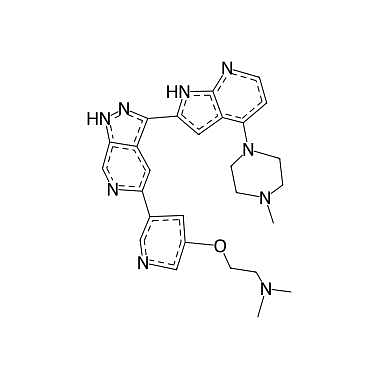 CN(C)CCOc1cncc(-c2cc3c(-c4cc5c(N6CCN(C)CC6)ccnc5[nH]4)n[nH]c3cn2)c1